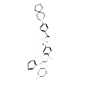 CN1CCN(C[C@H](CSc2ccccc2)Nc2ccc(S(=O)(=O)NC(=O)c3ccc(N4CCC5(CCCC5)CC4)cc3)cc2[N+](=O)[O-])CC1